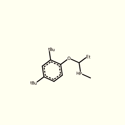 CCC(Oc1ccc(C(C)(C)C)cc1C(C)(C)C)PC